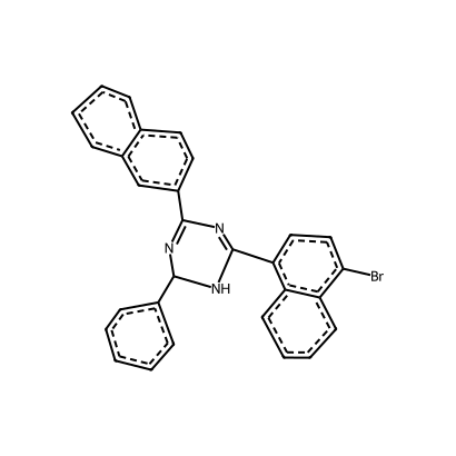 Brc1ccc(C2=NC(c3ccc4ccccc4c3)=NC(c3ccccc3)N2)c2ccccc12